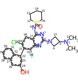 CN(C)C1CN(c2nc(N=S3(=O)CCCCC3)c3cc(Cl)c(-c4cc(O)cc5ccccc45)c(F)c3n2)C1